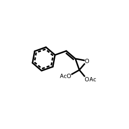 CC(=O)OC1(OC(C)=O)OC1=Cc1ccccc1